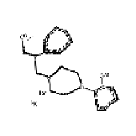 COc1ccccc1N1CCN(CC(CC(=O)O)c2ccccc2)CC1.Cl.Cl